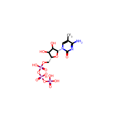 Nc1nc(=O)n([C@@H]2O[C@H](COP(=O)(O)OP(=O)(O)OP(=O)(O)O)C(O)C2O)cc1C(F)(F)F